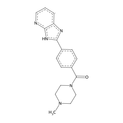 CN1CCN(C(=O)c2ccc(-c3nc4[c]ccnc4[nH]3)cc2)CC1